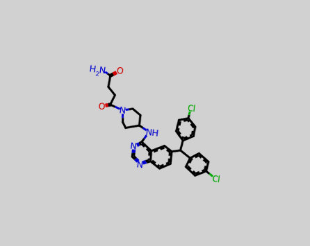 NC(=O)CCC(=O)N1CCC(Nc2ncnc3ccc(C(c4ccc(Cl)cc4)c4ccc(Cl)cc4)cc23)CC1